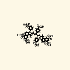 CC1(C)C(/C=C/C(=C/C=C2/N(c3cccc(S(=O)(=O)O)c3)c3ccc4c(S(=O)(=O)O)cc(S(=O)(=O)O)cc4c3C2(C)C)c2ccc(C(=O)O)cc2)=[N+](c2cccc(S(=O)(=O)O)c2)c2ccc3c(S(=O)(=O)O)cc(S(=O)(=O)O)cc3c21